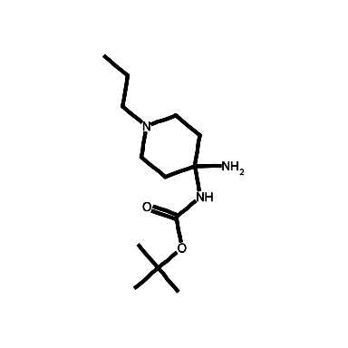 CCCN1CCC(N)(NC(=O)OC(C)(C)C)CC1